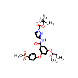 CCC(OC)Oc1cc(Oc2ccc(S(C)(=O)=O)cc2)cc(C(=O)Nc2ccn(C(=O)OC(C)(C)C)n2)c1